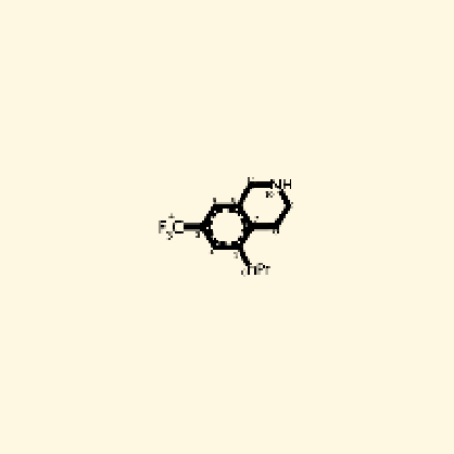 CCCc1cc(C(F)(F)F)cc2c1CCNC2